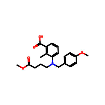 COC(=O)CCCN(Cc1ccc(OC)cc1)c1cccc(C(=O)O)c1C